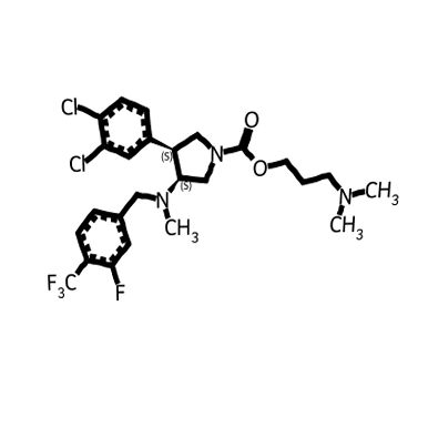 CN(C)CCCOC(=O)N1C[C@H](c2ccc(Cl)c(Cl)c2)[C@H](N(C)Cc2ccc(C(F)(F)F)c(F)c2)C1